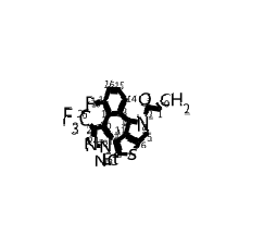 C=CC(=O)N1Cc2sc(C#N)cc2C1c1cccc(F)c1-c1cn(CC)nc1C(F)(F)F